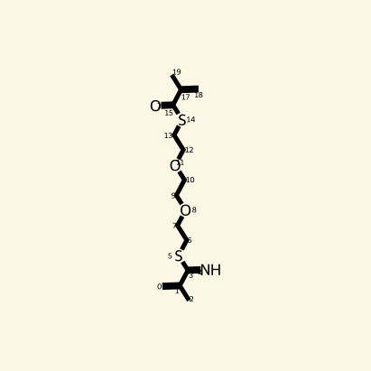 C=C(C)C(=N)SCCOCCOCCSC(=O)C(=C)C